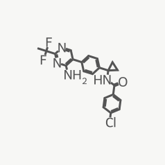 CC(F)(F)c1ncc(-c2ccc(C3(NC(=O)c4ccc(Cl)cc4)CC3)cc2)c(N)n1